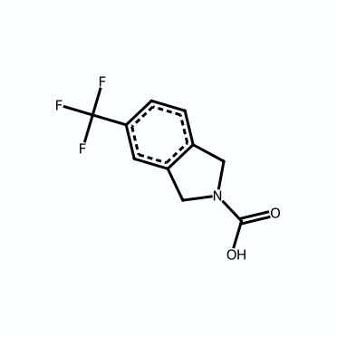 O=C(O)N1Cc2ccc(C(F)(F)F)cc2C1